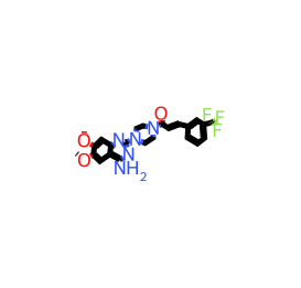 COc1cc2nc(N3CCN(C(=O)C=Cc4cccc(C(F)(F)F)c4)CC3)nc(N)c2cc1OC